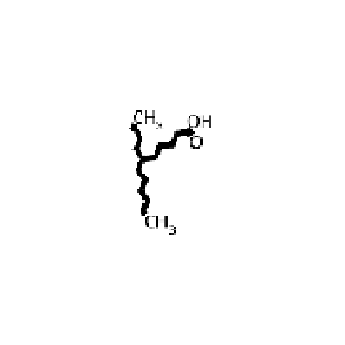 CCCCCCC(CCCC)CCCCC(=O)O